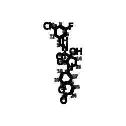 O=C(NCc1cc(F)cc(Cl)c1)C1(O)CCN(c2ccc3oc(=O)ccc3c2)C1=O